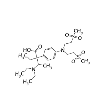 CCN(CC)C(C)C(CC)(C(=O)O)c1ccc(N(CCS(C)(=O)=O)CCS(C)(=O)=O)cc1